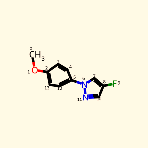 COc1ccc(-n2cc(F)cn2)cc1